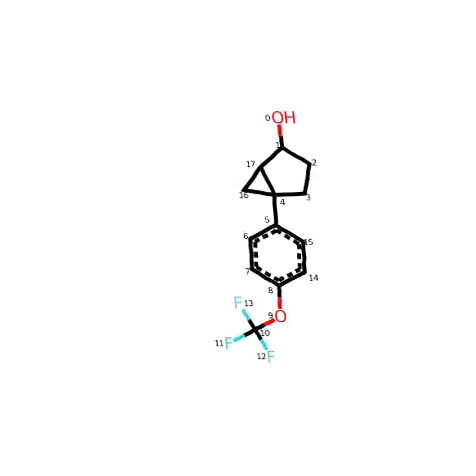 OC1CCC2(c3ccc(OC(F)(F)F)cc3)CC12